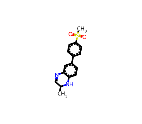 CC1C=Nc2cc(-c3ccc(S(C)(=O)=O)cc3)ccc2N1